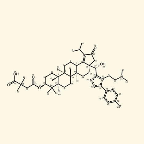 CC(C)C1=C2C3CC[C@@H]4[C@@]5(C)CC[C@H](OC(=O)CC(C)(C)C(=O)O)C(C)(C)[C@@H]5CC[C@@]4(C)[C@]3(C)CC[C@@]2([C@H](O)c2nnc(-c3ccc(F)cn3)n2CCN(C)C)CC1=O